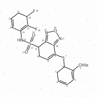 COC1=CC=CCC1SC1=CCC(S(=O)(=O)NC2=C(F)C(F)CC=C2)c2nonc21